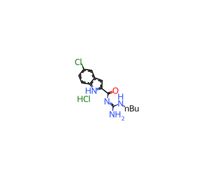 CCCCNC(N)=NC(=O)c1cc2cc(Cl)ccc2[nH]1.Cl